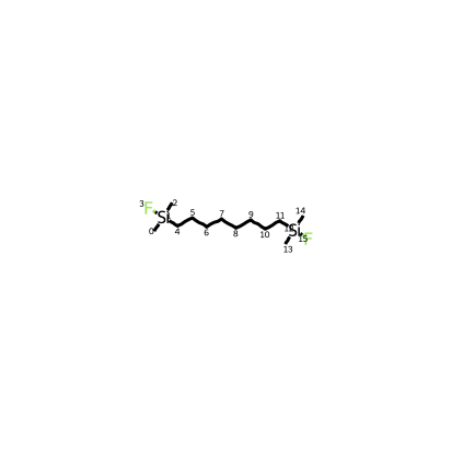 C[Si](C)(F)CCCCCCCC[Si](C)(C)F